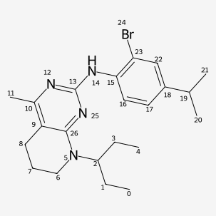 CCC(CC)N1CCCc2c(C)nc(Nc3ccc(C(C)C)cc3Br)nc21